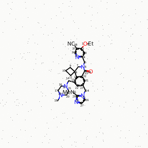 CCOc1cc(CN2CC3(CCC3)c3c(CN4CCN(C)CC4)cc(Cn4ccnc4NC)cc3C2=O)ncc1C#N